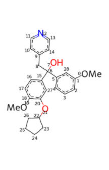 COc1cccc(C(O)(Cc2ccncc2)c2ccc(OC)c(OC3CCCC3)c2)c1